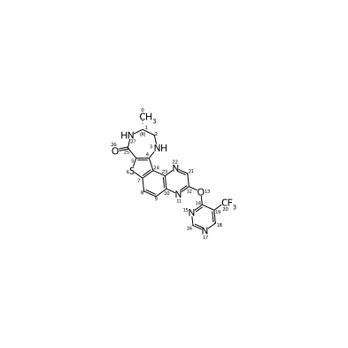 C[C@@H]1CNc2c(sc3ccc4nc(Oc5ncncc5C(F)(F)F)cnc4c23)C(=O)N1